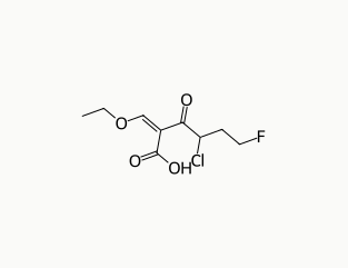 CCOC=C(C(=O)O)C(=O)C(Cl)CCF